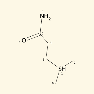 C[SH](C)CCC(N)=O